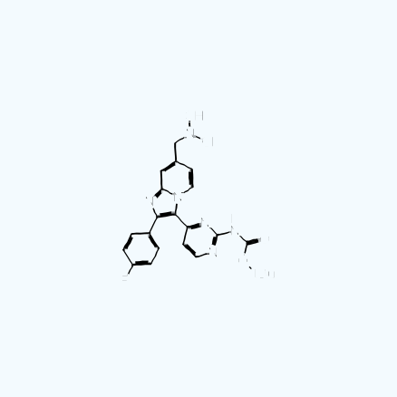 CN(C)Cc1ccn2c(-c3ccnc(NC(=O)OC(C)(C)C)n3)c(-c3ccc(F)cc3)nc2c1